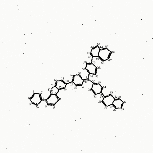 c1ccc(-c2cccc3c2oc2ccc(-c4ccc(N(c5ccc(-c6ccc7ccccc7c6)cc5)c5ccc(-c6cccc7ccccc67)cc5)cc4)cc23)cc1